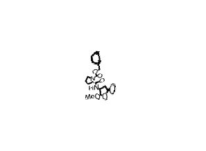 CO[C@@H]1OC(=O)C[C@@H]1NC(=O)[C@@H]1CCCN1C(=O)OCc1ccccc1